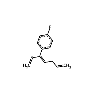 C=CC/C=C(/N=C)c1ccc(F)cc1